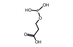 O=C(O)CCOP(O)O